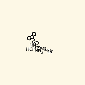 CC(C)(C)OCCOCCOC[C@@H](CN)NC(=O)OCC1c2ccccc2-c2ccccc21.Cl